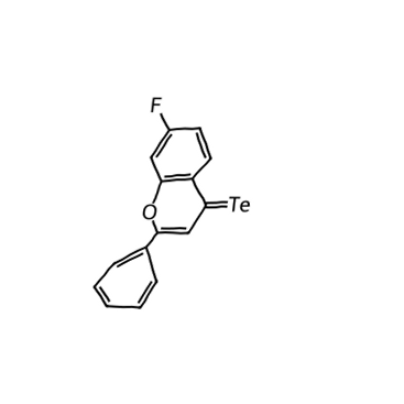 Fc1ccc2c(=[Te])cc(-c3ccccc3)oc2c1